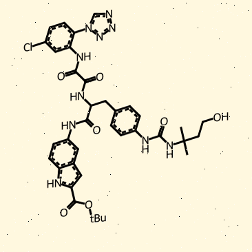 CC(C)(CCO)NC(=O)Nc1ccc(CC(NC(=O)C(=O)Nc2cc(Cl)ccc2-n2cnnn2)C(=O)Nc2ccc3[nH]c(C(=O)OC(C)(C)C)cc3c2)cc1